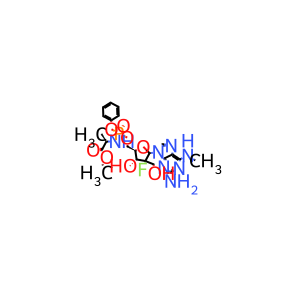 CCOC(=O)[C@@H](C)N[P@@](=O)(OC[C@H]1O[C@@H](n2cnc3c(NC)nc(N)nc32)[C@@](F)(CO)[C@@H]1O)Oc1ccccc1